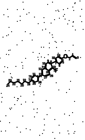 C=CCOc1ccc(-c2ccc3cc(-c4ccc(CCCCCCC)cc4)ccc3c2F)cc1